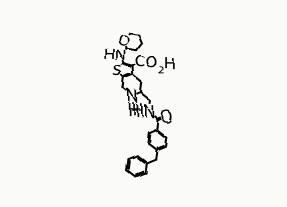 O=C(NCC1Cc2c(sc(NC3CCCCO3)c2C(=O)O)CN1)c1ccc(Cc2ccccc2)cc1